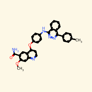 COc1cc2nccc(Oc3ccc(Nc4nnc(-c5ccc(C)cc5)c5ccccc45)cc3)c2cc1C(N)=O